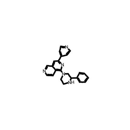 c1ccc(C2CN(c3nc(-c4ccncc4)cc4cnccc34)CCN2)cc1